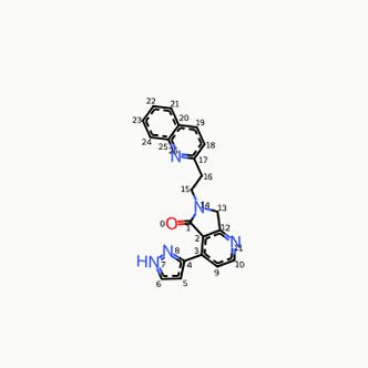 O=C1c2c(-c3cc[nH]n3)ccnc2CN1CCc1ccc2ccccc2n1